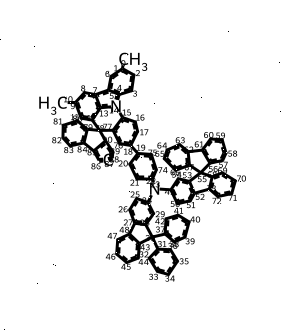 Cc1ccc2c(c1)c1cc(C)cc3c1n2-c1ccc(-c2ccc(N(c4ccc5c(c4)C(c4ccccc4)(c4ccccc4)c4ccccc4-5)c4ccc5c(c4)C4(c6ccccc6-c6ccccc64)c4ccccc4-5)cc2)cc1C31c2ccccc2-c2ccccc21